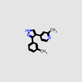 Cc1cccc(-c2n[nH]cc2-c2ccnc(C)c2)c1